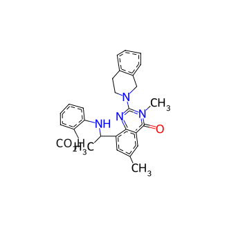 Cc1cc(C(C)Nc2ccccc2C(=O)O)c2nc(N3CCc4ccccc4C3)n(C)c(=O)c2c1